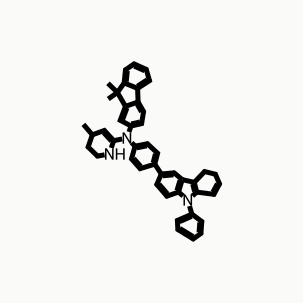 CC1C=C(N(c2ccc(-c3ccc4c(c3)c3c(n4-c4ccccc4)C=CCC3)cc2)c2ccc3c(c2)C(C)(C)c2ccccc2-3)NCC1